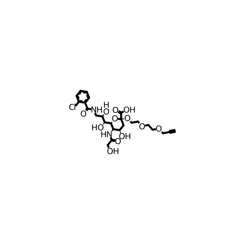 C#CCOCCOCCO[C@]1(C(=O)O)C[C@H](O)[C@@H](NC(=O)CO)[C@H]([C@H](O)[C@H](O)CNC(=O)c2ccccc2Cl)O1